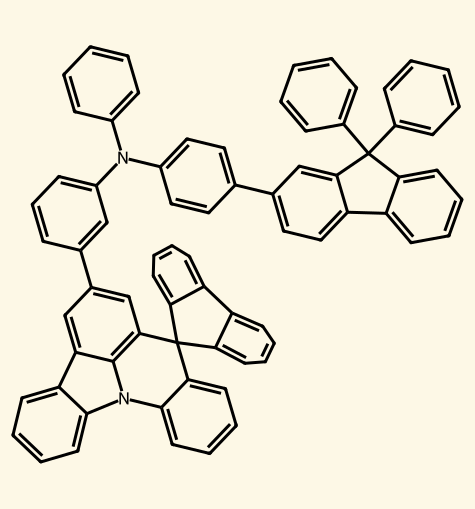 c1ccc(N(c2ccc(-c3ccc4c(c3)C(c3ccccc3)(c3ccccc3)c3ccccc3-4)cc2)c2cccc(-c3cc4c5c(c3)c3ccccc3n5-c3ccccc3C43c4ccccc4-c4ccccc43)c2)cc1